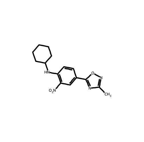 Cc1noc(-c2ccc(NC3CCCCC3)c([N+](=O)[O-])c2)n1